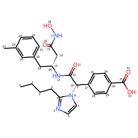 CCCCc1nccn1[C@H](C(=O)N[C@@H](CC(=O)NO)Cc1cccc(C)c1)c1ccc(C(=O)O)cc1